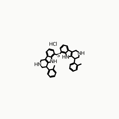 Cc1ccccc1C1CNCc2c1[nH]c1c(Sc3cccc4c5c([nH]c34)C(c3ccccc3C)CNC5)cccc21.Cl